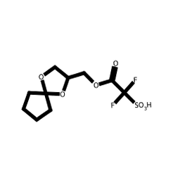 O=C(OCC1COC2(CCCC2)O1)C(F)(F)S(=O)(=O)O